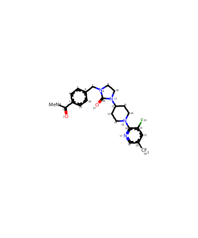 CNC(=O)c1ccc(CN2CCN(C3CCN(c4ncc(C(F)(F)F)cc4F)CC3)C2=O)cc1